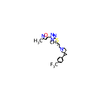 Cc1cc(-c2nnc(SCCCN3CC[C@]4(CC4c4ccc(C(F)(F)F)cc4)C3)n2C)on1